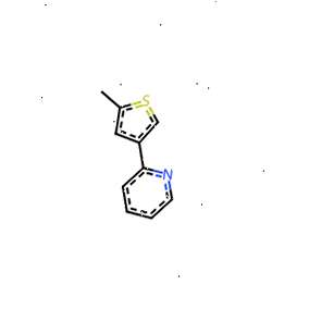 Cc1cc(-c2ccccn2)cs1